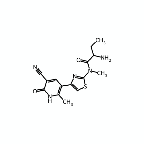 CCC(N)C(=O)N(C)c1nc(-c2cc(C#N)c(=O)[nH]c2C)cs1